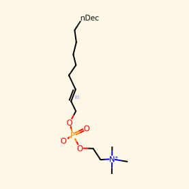 CCCCCCCCCCCCCCC/C=C/COP(=O)([O-])OCC[N+](C)(C)C